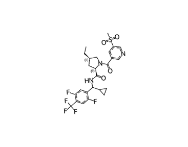 CC[C@@H]1C[C@H](C(=O)NC(c2cc(F)c(C(F)(F)F)cc2F)C2CC2)N(C(=O)c2cncc(S(C)(=O)=O)c2)C1